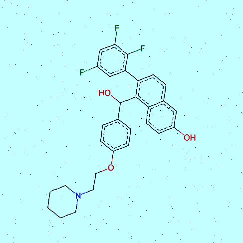 Oc1ccc2c(C(O)c3ccc(OCCN4CCCCC4)cc3)c(-c3cc(F)cc(F)c3F)ccc2c1